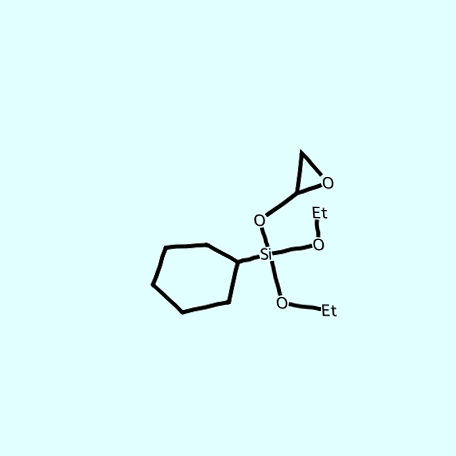 CCO[Si](OCC)(OC1CO1)C1CCCCC1